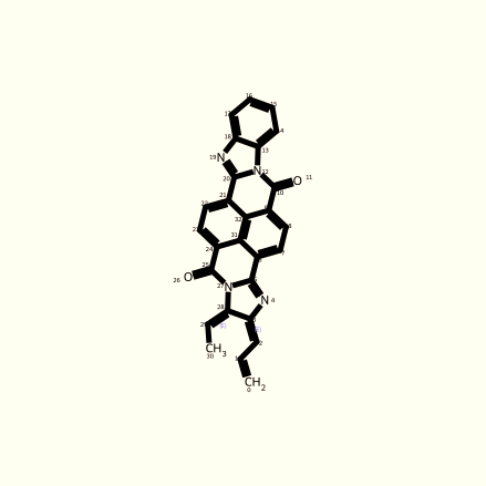 C=C/C=c1/nc2c3ccc4c(=O)n5c6ccccc6nc5c5ccc(c(=O)n2/c1=C/C)c3c45